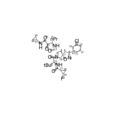 CCC[C@H](NC(=O)[C@@H]1C[C@]2(CC(c3cccc(Cl)c3)=NO2)CN1C(=O)[C@@H](NC(=O)C1CC1F)C(C)(C)C)C(=O)C(=O)NC1CC1